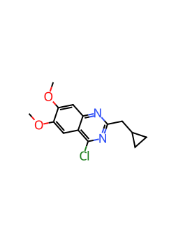 COc1cc2nc(CC3CC3)nc(Cl)c2cc1OC